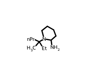 CCCC(C)(CC)N1CCCCC1N